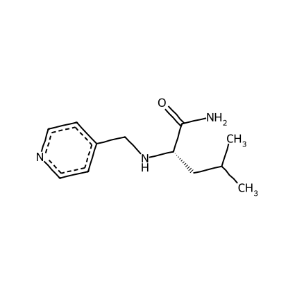 CC(C)C[C@H](NCc1ccncc1)C(N)=O